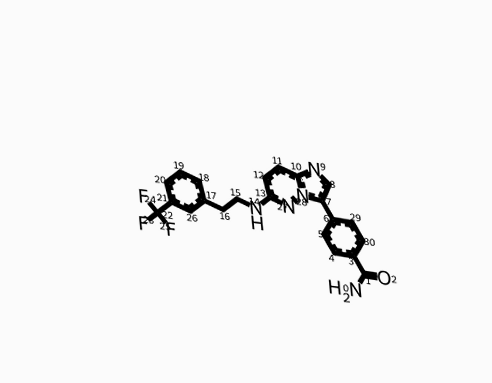 NC(=O)c1ccc(-c2cnc3ccc(NCCc4cccc(C(F)(F)F)c4)nn23)cc1